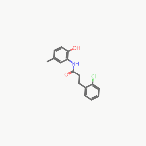 Cc1ccc(O)c(NC(=O)CCc2ccccc2Cl)c1